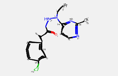 CC(C)CN(NC(=O)Cc1ccc(Cl)cc1)c1ccnc(C#N)n1